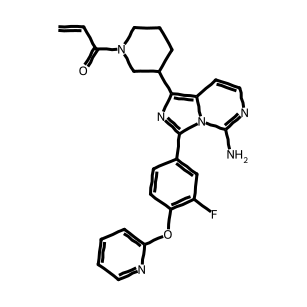 C=CC(=O)N1CCCC(c2nc(-c3ccc(Oc4ccccn4)c(F)c3)n3c(N)nccc23)C1